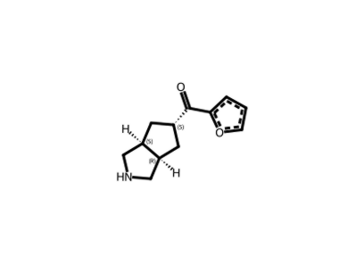 O=C(c1ccco1)[C@@H]1C[C@H]2CNC[C@H]2C1